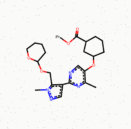 Cc1nc(-c2cnn(C)c2COC2CCCCO2)ncc1OC1CCCC(C(=O)OC(C)C)C1